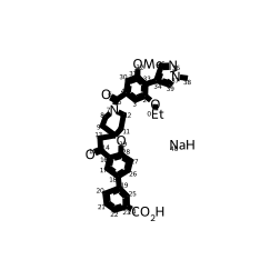 CCOc1cc(C(=O)N2CCC3(CC2)CC(=O)c2cc(-c4cccc(C(=O)O)c4)ccc2O3)cc(OC)c1-c1cnn(C)c1.[NaH]